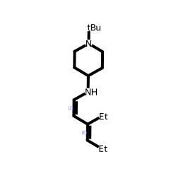 CC/C=C(/C=C\NC1CCN(C(C)(C)C)CC1)CC